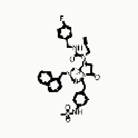 C#CCN(C(=O)NCc1ccc(F)cc1)N1CC(=O)N([C@H](C)Cc2ccc(NS(C)(=O)=O)cc2)[C@@H]1CN(C=O)Cc1cccc2ccccc12